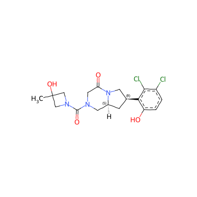 CC1(O)CN(C(=O)N2CC(=O)N3C[C@@H](c4c(O)ccc(Cl)c4Cl)C[C@H]3C2)C1